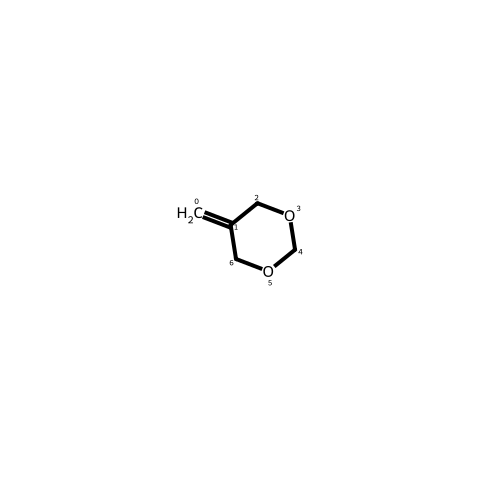 C=C1COCOC1